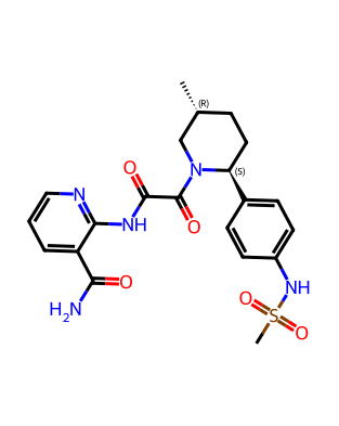 C[C@@H]1CC[C@@H](c2ccc(NS(C)(=O)=O)cc2)N(C(=O)C(=O)Nc2ncccc2C(N)=O)C1